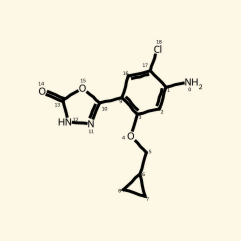 Nc1cc(OCC2CC2)c(-c2n[nH]c(=O)o2)cc1Cl